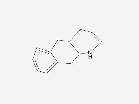 C1=CNC2Cc3ccccc3CC2C1